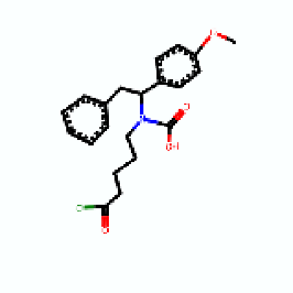 COc1ccc(C(Cc2ccccc2)N(CCCCC(=O)Cl)C(=O)O)cc1